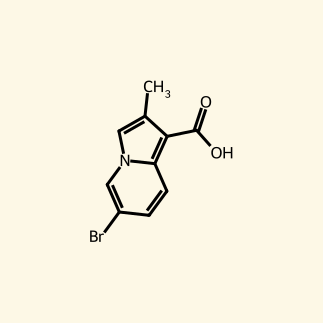 Cc1cn2cc(Br)ccc2c1C(=O)O